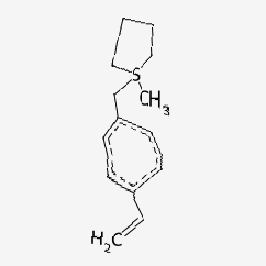 C=Cc1ccc(CS2(C)CCCC2)cc1